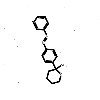 [SiH3]C1(c2ccc(/N=N/c3ccccc3)cc2)CCCCO1